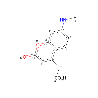 CCNc1ccc2c(CC(=O)O)cc(=O)oc2c1